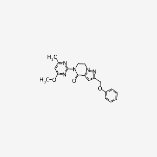 COc1cc(C)nc(N2CCn3nc(COc4ccccc4)cc3C2=O)n1